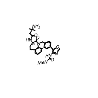 CNC(=O)Nc1ncoc1-c1ccc(CN2C(=O)[C@H](NC(=O)CC(C)(C)N)CCc3ccccc32)cc1